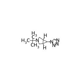 CC(C)(C)N1C[C@@H]2[C@H](C1)[C@H]2n1cnnn1